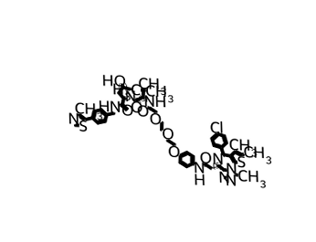 Cc1ncsc1-c1ccc(CNC(=O)C2C[C@@H](O)CN2C(=O)[C@@H](NC(=O)COCCOCCOc2ccc(NC(=O)C[C@@H]3N=C(c4ccc(Cl)cc4)c4c(sc(C)c4C)-n4c(C)nnc43)cc2)C(C)(C)C)cc1